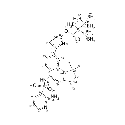 BC(B)(B)C(B)(COc1ccn(-c2ccc(C(=O)NS(=O)(=O)c3cccnc3N)c(N3C[C@@H](C)CC3(C)C)n2)n1)C(B)(B)B